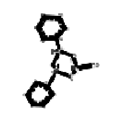 O=[PH]1O[SiH](c2ccccc2)C[SiH](c2ccccc2)O1